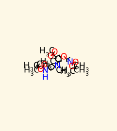 CCN(c1cc(OC2CN(C(=O)OC(C)(C)C)C2)cc(C(=O)OC)c1C)C1CCC(NC(=O)OC(C)(C)C)CC1